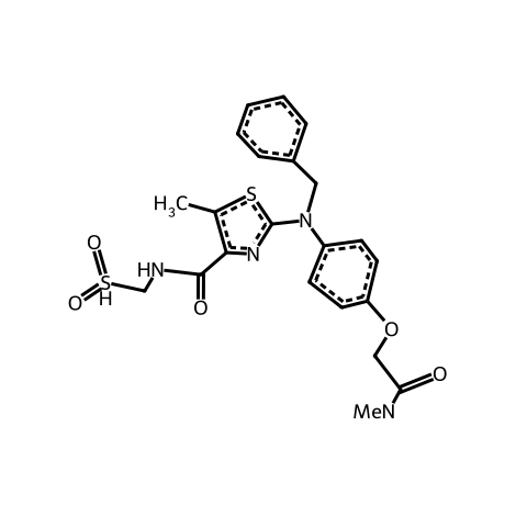 CNC(=O)COc1ccc(N(Cc2ccccc2)c2nc(C(=O)NC[SH](=O)=O)c(C)s2)cc1